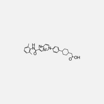 Cc1cccc(C)c1NC(=O)C1=C[N+]2CN(c3ccc(C4CCC(CC(=O)O)CC4)cc3)C=CC2=N1